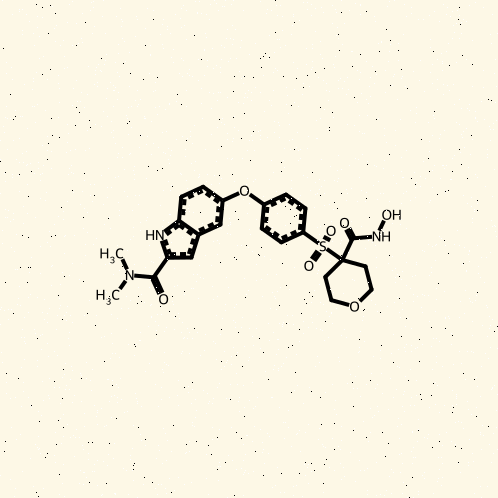 CN(C)C(=O)c1cc2cc(Oc3ccc(S(=O)(=O)C4(C(=O)NO)CCOCC4)cc3)ccc2[nH]1